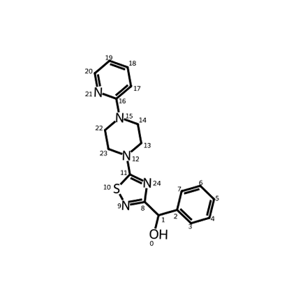 OC(c1ccccc1)c1nsc(N2CCN(c3ccccn3)CC2)n1